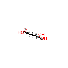 O=C(O)C=CCCCCCC(O)CO